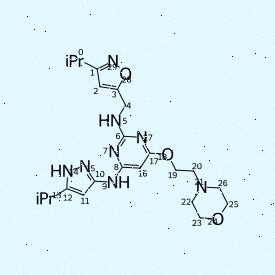 CC(C)c1cc(CNc2nc(Nc3cc(C(C)C)[nH]n3)cc(OCCN3CCOCC3)n2)on1